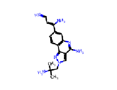 CC(C)(N)Cn1cc2c(N)nc3cc(/C(N)=C/C=N)ccc3c2n1